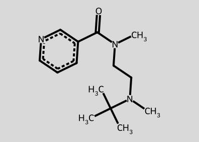 CN(CCN(C)C(C)(C)C)C(=O)c1cccnc1